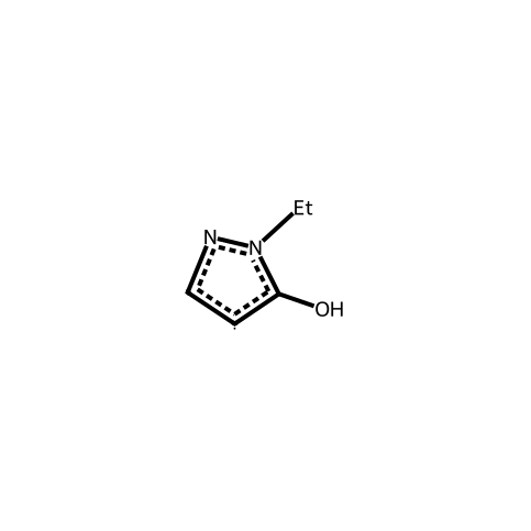 CCn1nc[c]c1O